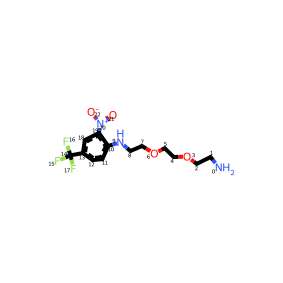 NCCOCCOCCNc1ccc(C(F)(F)F)cc1[N+](=O)[O-]